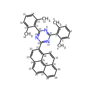 Cc1cccc(C)c1-c1nc(-c2c(C)cccc2C)nc(-c2ccc3ccc4cccc5ccc2c3c45)n1